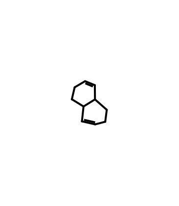 C1=CC2CCC=CC2CC1